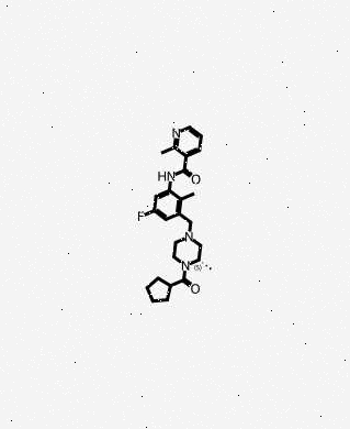 Cc1ncccc1C(=O)Nc1cc(F)cc(CN2CCN(C(=O)C3CCCC3)[C@@H](C)C2)c1C